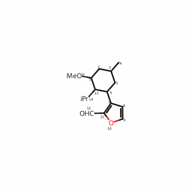 COC1CC(C)CC(c2ccoc2C=O)C1C(C)C